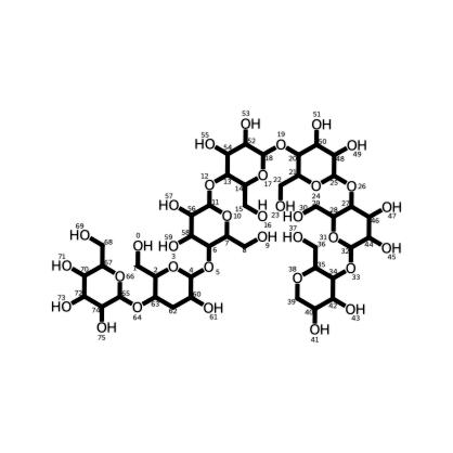 OCC1OC(OC2C(CO)OC(OC3C(CO)OC(OC4C(CO)OC(OC5C(CO)OC(OC6C(CO)OCC(O)C6O)C(O)C5O)C(O)C4O)C(O)C3O)C(O)C2O)C(O)CC1OC1OC(CO)C(O)C(O)C1O